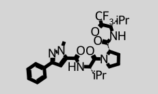 CC(C)[C@H](NC(=O)c1cc(-c2ccccc2)nn1C)C(=O)N1CCC[C@H]1C(=O)N[C@H](C(=O)C(F)(F)F)C(C)C